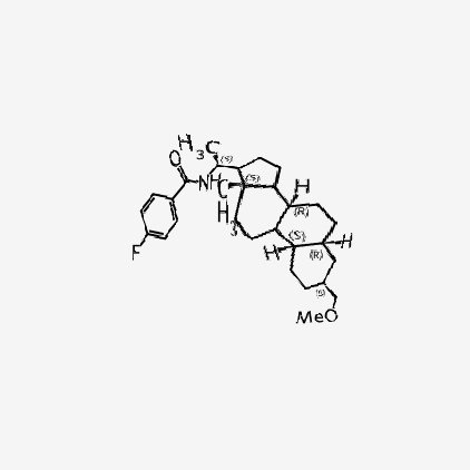 COC[C@H]1CC[C@@H]2C3CC[C@@]4(C)C(CCC4[C@H](C)NC(=O)c4ccc(F)cc4)[C@@H]3CC[C@@H]2C1